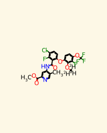 [2H]C([2H])([2H])Oc1c(Oc2ccc(Cl)c(F)c2C(=O)Nc2cc(C(=O)OC)ncc2C)ccc(OC(F)(F)F)c1F